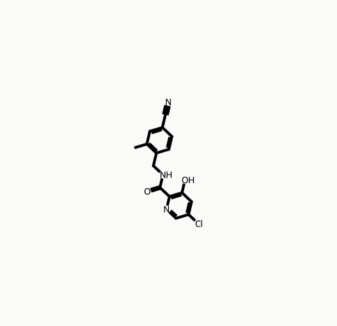 Cc1cc(C#N)ccc1CNC(=O)c1ncc(Cl)cc1O